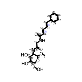 COC1O[C@H](CO)[C@@H](O)[C@H](O)[C@H]1NC(=O)CNC(=O)/C=C/C=C/c1ccccc1